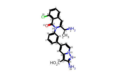 C[C@H](N)c1cc2cccc(Cl)c2c(=O)n1-c1cccc(-c2ccn3nc(N)c(C(=O)O)c3c2)c1